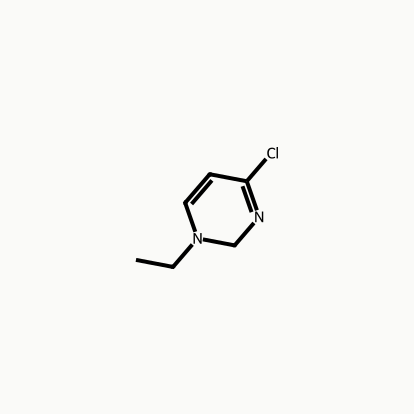 CCN1C=CC(Cl)=NC1